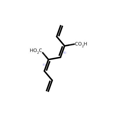 C=C/C=C(\C=C(/C=C)C(=O)O)C(=O)O